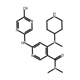 CN(C)C(=O)c1cnc(Nc2cnc(C#N)cn2)cc1N(C)C1CCNCC1